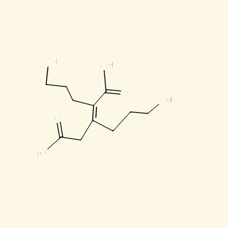 CCCCC(CC(=O)O)=C(CCCC)C(=O)O